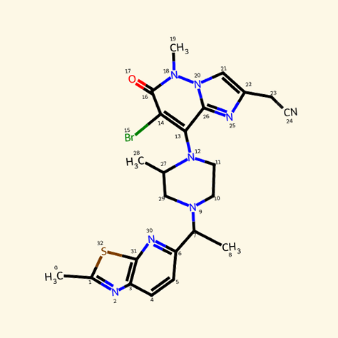 Cc1nc2ccc(C(C)N3CCN(c4c(Br)c(=O)n(C)n5cc(CC#N)nc45)C(C)C3)nc2s1